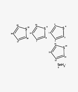 [SnH2].c1ccsc1.c1ccsc1.c1ccsc1.c1ccsc1